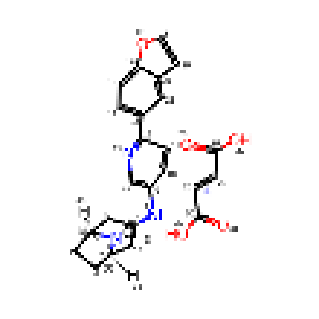 CN1[C@@H]2CC[C@H]1C[C@@H](Nc1ccc(-c3ccc4occc4c3)nc1)C2.O=C(O)/C=C/C(=O)O